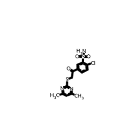 Cc1cc(C)nc(SCC(=O)c2ccc(Cl)c(S(N)(=O)=O)c2)n1